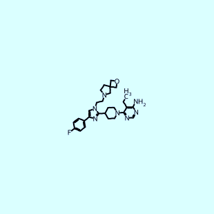 CCc1c(N)ncnc1N1CCC(c2nc(-c3ccc(F)cc3)cn2CCN2CCC3(COC3)C2)CC1